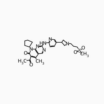 CC(=O)c1c(C)c2cnc(Nc3ccc(C4CN(CCCS(C)(=O)=O)C4)cn3)nc2n(C2CCCC2)c1=O